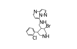 Clc1ccccc1C1CNCC(Br)C1CNc1ccnc2ccnn12